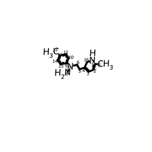 CC1=CC=C(CCN(N)c2ccc(C)cc2)CN1